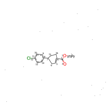 CCCOC(=O)C1=CCC(c2ccc(Cl)cc2)CC1